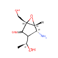 C[C@H](O)C1C(=O)[C@]2(CO)O[C@@H]2[C@@H]1N